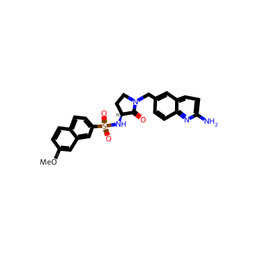 COc1ccc2ccc(S(=O)(=O)N[C@H]3CCN(Cc4ccc5nc(N)ccc5c4)C3=O)cc2c1